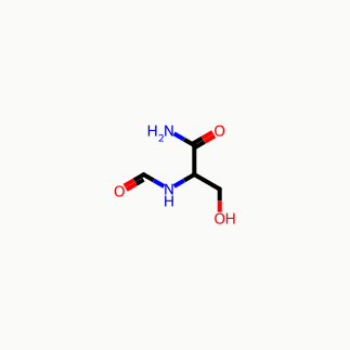 NC(=O)C(CO)NC=O